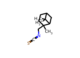 CC1(CN=C=S)CCC2CC1C2(C)C